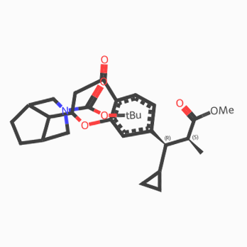 COC(=O)[C@@H](C)[C@H](c1ccc2c(c1)OC(C1C3CCC1CN(C(=O)OC(C)(C)C)C3)CC2=O)C1CC1